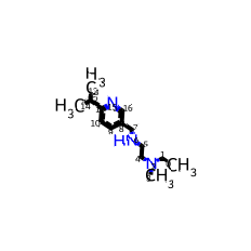 CCN(C)CCNCc1ccc(C(C)C)nc1